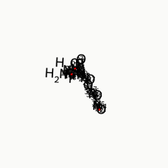 C[C@H]1COCCN1c1nc(-c2cnc(N)nc2C(F)F)nc(N2CCN(C(=O)COCC3CCN(C(=O)/C=C/CN4CCOCC4)CC3)CC2)n1